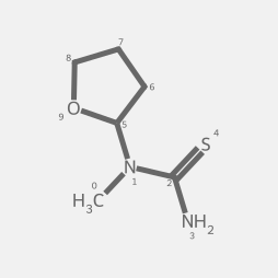 CN(C(N)=S)C1CCCO1